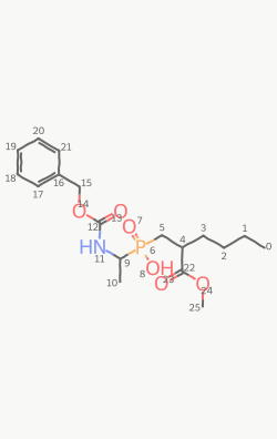 CCCCC(CP(=O)(O)C(C)NC(=O)OCc1ccccc1)C(=O)OC